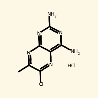 Cc1nc2nc(N)nc(N)c2nc1Cl.Cl